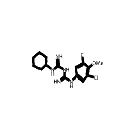 COc1c(Cl)cc(NC(=N)NC(=N)NC2CCCCC2)cc1Cl